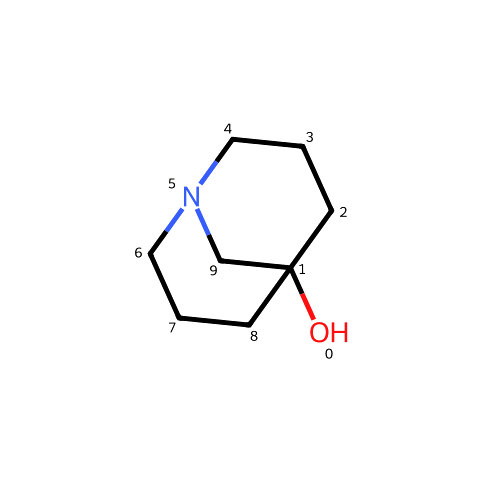 OC12CCCN(CCC1)C2